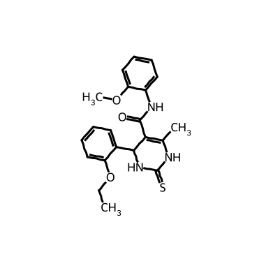 CCOc1ccccc1C1NC(=S)NC(C)=C1C(=O)Nc1ccccc1OC